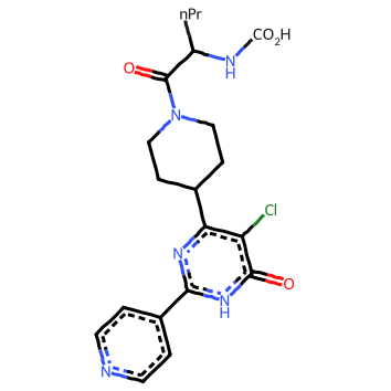 CCCC(NC(=O)O)C(=O)N1CCC(c2nc(-c3ccncc3)[nH]c(=O)c2Cl)CC1